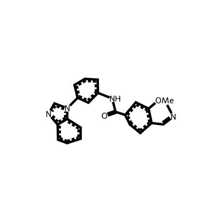 C/N=C\c1ccc(C(=O)Nc2cccc(-n3cnc4ccccc43)c2)cc1OC